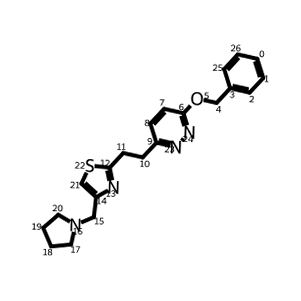 c1ccc(COc2ccc(CCc3nc(CN4CCCC4)cs3)nn2)cc1